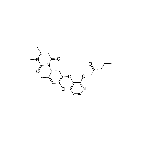 CCCC(=O)COc1ncccc1Oc1cc(-n2c(=O)cc(C)n(C)c2=O)c(F)cc1Cl